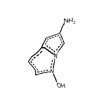 Nc1cc2ccn(O)n2c1